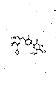 O=c1[nH]nc(Oc2ccc(-n3nc(CO)c(=O)[nH]c3=O)cc2Cl)cc1C1CCC1